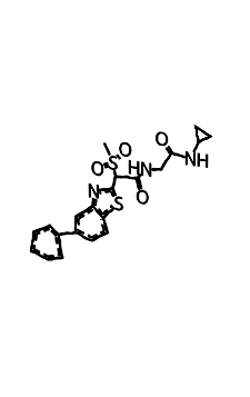 CS(=O)(=O)C(C(=O)NCC(=O)NC1CC1)c1nc2cc(-c3ccccc3)ccc2s1